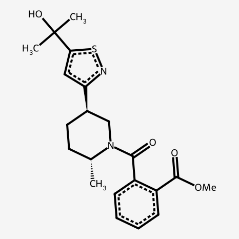 COC(=O)c1ccccc1C(=O)N1C[C@H](c2cc(C(C)(C)O)sn2)CC[C@H]1C